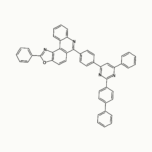 c1ccc(-c2ccc(-c3nc(-c4ccccc4)cc(-c4ccc(-c5nc6ccccc6c6c5ccc5oc(-c7ccccc7)nc56)cc4)n3)cc2)cc1